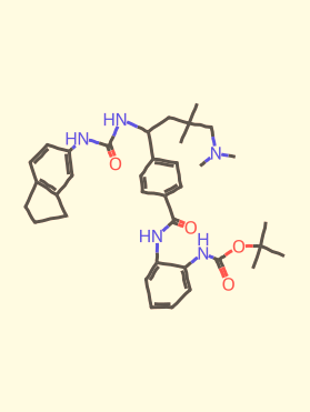 CN(C)CC(C)(C)CC(NC(=O)Nc1ccc2c(c1)CCC2)c1ccc(C(=O)Nc2ccccc2NC(=O)OC(C)(C)C)cc1